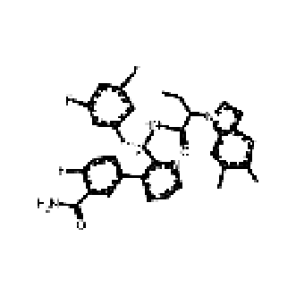 CCC(C(=O)N[C@@H](Cc1cc(F)cc(F)c1)c1ncccc1-c1ccc(F)c(C(N)=O)c1)n1ccc2cc(C)c(C)cc21